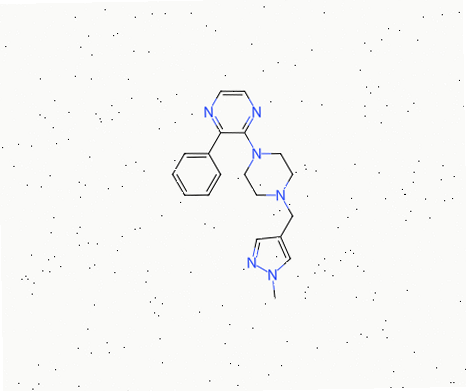 Cn1cc(CN2CCN(c3nccnc3-c3ccccc3)CC2)cn1